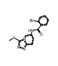 CSc1nnc2ccc(NC(=O)c3ccccc3Br)cn12